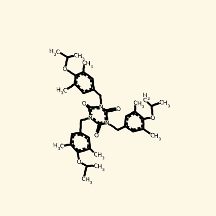 Cc1cc(Cn2c(=O)n(Cc3cc(C)c(OC(C)C)c(C)c3)c(=O)n(Cc3cc(C)c(OC(C)C)c(C)c3)c2=O)cc(C)c1OC(C)C